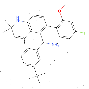 COc1cc(F)ccc1-c1ccc2c(c1C(N)c1cccc(C(C)(C)C)c1)C(C)=CC(C)(C)N2